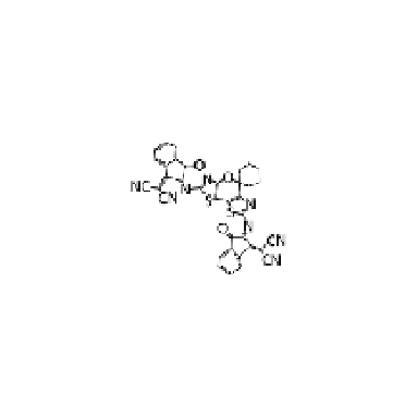 N#CC(C#N)=C1/C(=N/c2nc3c(s2)-c2sc(/N=C4\C(=O)c5ccccc5C4=C(C#N)C#N)nc2C2(CCCCC2)O3)C(=O)c2ccccc21